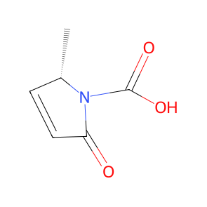 C[C@H]1C=CC(=O)N1C(=O)O